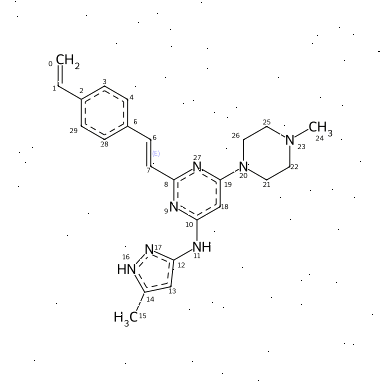 C=Cc1ccc(/C=C/c2nc(Nc3cc(C)[nH]n3)cc(N3CCN(C)CC3)n2)cc1